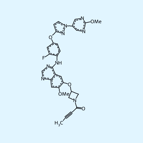 CC#CC(=O)N1CC(Oc2cc3c(Nc4ccc(Oc5ccn(-c6cnc(OC)nc6)n5)cc4F)ncnc3cc2OC)C1